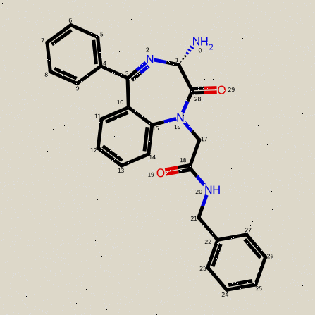 N[C@H]1N=C(c2ccccc2)c2ccccc2N(CC(=O)NCc2ccccc2)C1=O